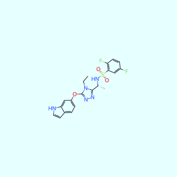 CCn1c(Oc2ccc3cc[nH]c3c2)nnc1[C@@H](C)NS(=O)(=O)c1cc(F)ccc1F